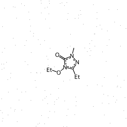 CCOn1c(CC)nn(C)c1=O